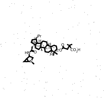 CC(C)[C@@H]1CC[C@]2(CC(=O)NC3CN(C)C4CC34)CC[C@]3(C)[C@H](CC[C@@H]4[C@@]5(C)CC[C@H](OC(=O)CC(C)(C)C(=O)O)C(C)(C)[C@@H]5CC[C@]43C)[C@@H]12